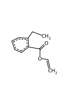 C=COC(=O)c1ccccc1CC